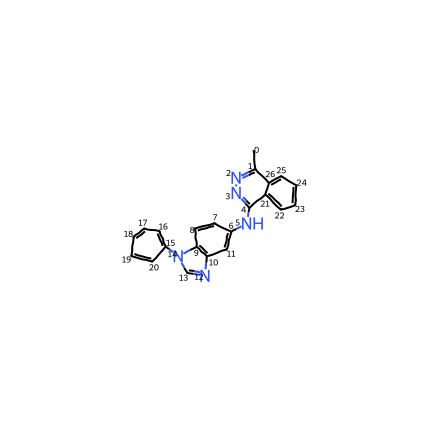 Cc1nnc(Nc2ccc3c(c2)ncn3-c2ccccc2)c2ccccc12